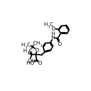 COc1ccccc1C(=O)Nc1ccc(CC(OC(C)(C)C)(C(=O)O)C(=O)O)cc1